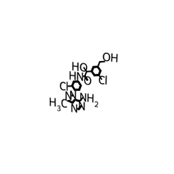 Cc1nn(-c2ccc(NC(=O)C(O)c3cc(Cl)cc(CCO)c3)cc2Cl)c2c(N)ncnc12